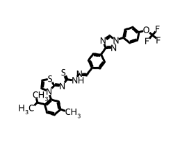 Cc1ccc(C(C)C)c(-n2ccs/c2=N\C(=S)N/N=C/c2ccc(-c3ncn(-c4ccc(OC(F)(F)F)cc4)n3)cc2)c1